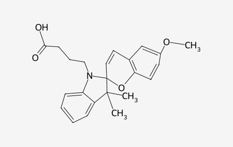 COc1ccc2c(c1)C=CC1(O2)N(CCCC(=O)O)c2ccccc2C1(C)C